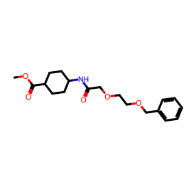 COC(=O)C1CCC(NC(=O)COCCOCc2ccccc2)CC1